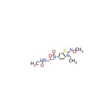 CCC(=O)NCC1CN(c2ccc3c(c2)sc(=NOC)n3CC)C(=O)O1